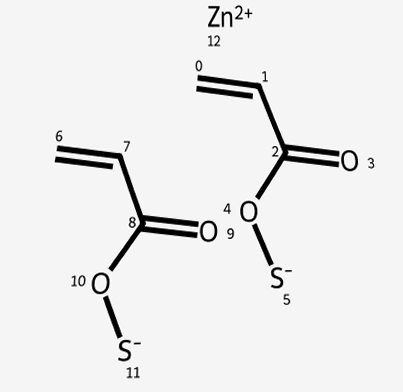 C=CC(=O)O[S-].C=CC(=O)O[S-].[Zn+2]